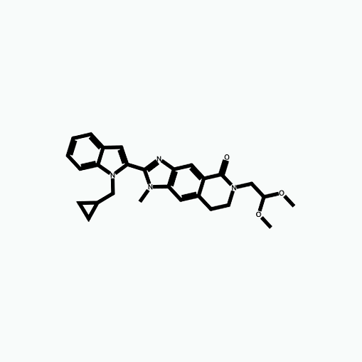 COC(CN1CCc2cc3c(cc2C1=O)nc(-c1cc2ccccc2n1CC1CC1)n3C)OC